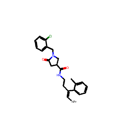 CCC/C=C(/CCNC(=O)C1CC(=O)N(Cc2ccccc2Cl)C1)c1ccccc1C